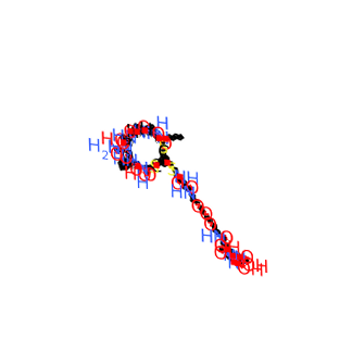 CCCCCC(=O)N[C@H]1CSCc2cc(CSCCNC(=O)CCC(=O)NCCCOCCOCCOCCCNC(=O)CCCCC3(N(C)CC(=O)O)CN4CCN(C3)C(C(=O)O)C(O)C4)cc(c2)CSCC(C(=O)O)NC(=O)[C@H](Cc2ccccc2)NC(=O)[C@H](CCC(N)=O)NC(=O)[C@H]([C@@H](C)O)NC(=O)[C@@H]2CCCN2C(=O)[C@@H]2CCCN2C1=O